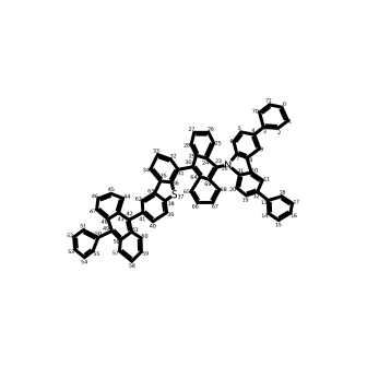 c1ccc(-c2ccc3c(c2)c2cc(-c4ccccc4)ccc2n3-c2c3ccccc3c(-c3cccc4c3sc3ccc(-c5c6ccccc6c(-c6ccccc6)c6ccccc56)cc34)c3ccccc23)cc1